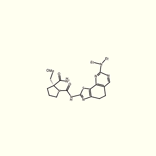 CCN(CC)c1ncc2c(n1)-c1sc(NC(=O)N3CCC[C@@]3(COC)C(N)=O)nc1CC2